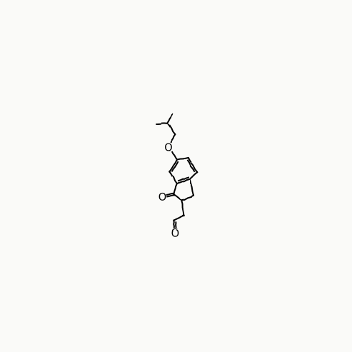 CC(C)COc1ccc2c(c1)C(=O)C(CC=O)C2